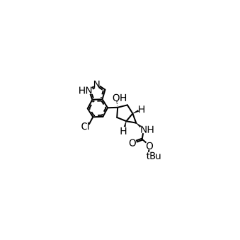 CC(C)(C)OC(=O)N[C@H]1[C@@H]2C[C@@](O)(c3cc(Cl)cc4[nH]ncc34)C[C@@H]21